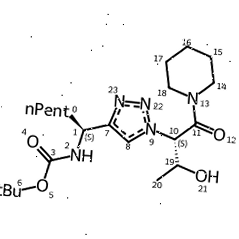 CCCCC[C@H](NC(=O)OC(C)(C)C)c1cn([C@H](C(=O)N2CCCCC2)C(C)O)nn1